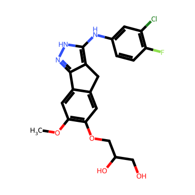 COc1cc2c(cc1OCC(O)CO)Cc1c-2n[nH]c1Nc1ccc(F)c(Cl)c1